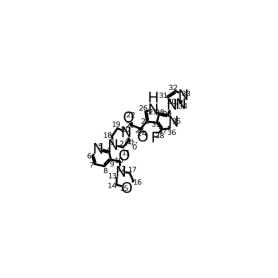 C[C@@H]1CN(c2ncccc2C(=O)N2CCOCC2)CCN1C(=O)C(=O)c1c[nH]c2c(-n3ccnn3)ncc(F)c12